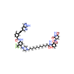 Cc1ccc(C(=O)Nc2ccc(CN3CCN(CCCCCCCCCCCCC(O)Nc4cccc5c4ON(C4CCC(=O)NC4=O)O5)CC3)c(C(F)(F)F)c2)cc1C#Cc1cnc2[nH]ncc2c1